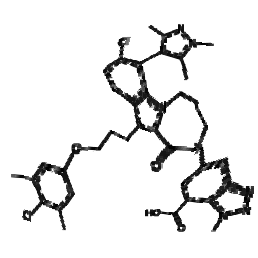 Cc1cc(OCCCc2c3n(c4c(-c5c(C)nn(C)c5C)c(Cl)ccc24)CCCN(c2cc(C(=O)O)c4c(c2)nnn4C)C3=O)cc(C)c1Cl